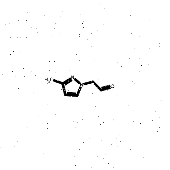 Cc1ccn(CC=O)n1